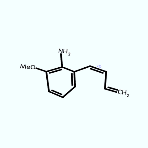 C=C/C=C\c1cccc(OC)c1N